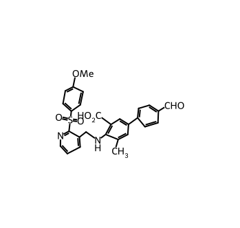 COc1ccc(S(=O)(=O)c2ncccc2CNc2c(C)cc(-c3ccc(C=O)cc3)cc2C(=O)O)cc1